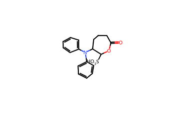 O=C1CCCC(N(c2ccccc2)c2ccccc2)C(S(=O)(=O)O)O1